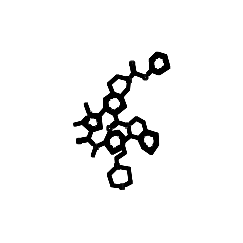 Cc1c(C(=O)N(C)c2ccccc2)cc(-c2cc3c(cc2C(=O)N2CCc4ccccc4C2CCCN2CCOCC2)CN(C(=O)Oc2ccccc2)CC3)n1C